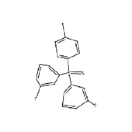 Cc1ccc(P(=S)(c2cccc(F)c2)c2cccc(F)c2)cc1